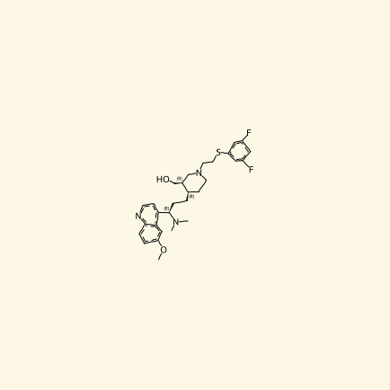 COc1ccc2nccc([C@@H](CC[C@@H]3CCN(CCSc4cc(F)cc(F)c4)C[C@@H]3CO)N(C)C)c2c1